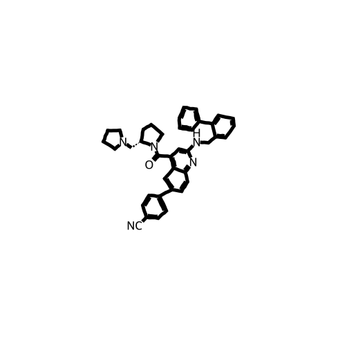 N#Cc1ccc(-c2ccc3nc(NCc4ccccc4-c4ccccc4)cc(C(=O)N4CCC[C@H]4CN4CCCC4)c3c2)cc1